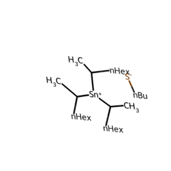 CCCCCC[CH](C)[Sn+]([CH](C)CCCCCC)[CH](C)CCCCCC.CCCC[S-]